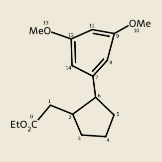 CCOC(=O)CC1CCCC1c1cc(OC)cc(OC)c1